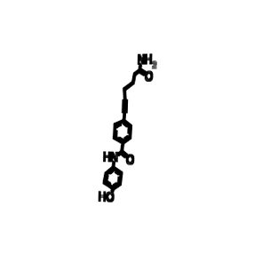 NC(=O)CCCC#Cc1ccc(C(=O)Nc2ccc(O)cc2)cc1